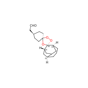 O=CC[C@H]1CC[C@]2(CC1)OO[C@@]1(O2)[C@@H]2CC3C[C@@H]1CCC[C@H]3C2